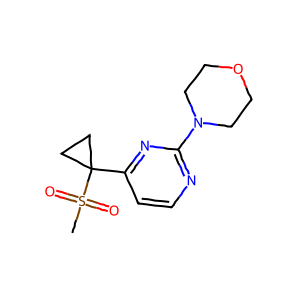 CS(=O)(=O)C1(c2ccnc(N3CCOCC3)n2)CC1